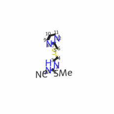 CSC(=NCCSCc1ncccn1)NC#N